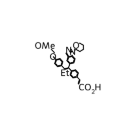 CCC(=C(c1ccc(C=CC(=O)O)cc1)c1ccc2c(cnn2C2CCCCO2)c1)c1ccc(OCCOC)cc1